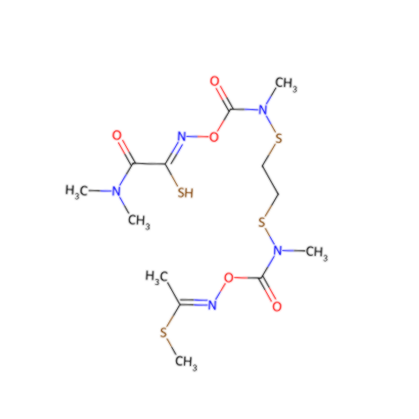 CSC(C)=NOC(=O)N(C)SCCSN(C)C(=O)ON=C(S)C(=O)N(C)C